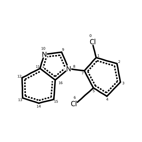 Clc1cccc(Cl)c1-n1cnc2ccccc21